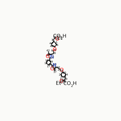 CCOC(Cc1ccc(OCCc2nc(-c3cccc(-c4nc(CCOc5ccc(C[C@H](OCC)C(=O)O)cc5)c(C)o4)c3)oc2C)cc1)C(=O)O